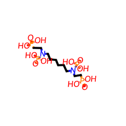 O=P(O)(O)CCN(CCCCCCN(CCP(=O)(O)O)P(=O)(O)O)P(=O)(O)O